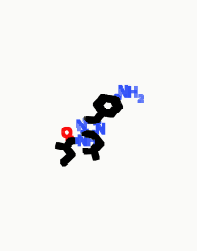 CCC(C)C(=O)Nc1ncc(-c2ccc(N)cc2)nc1C=C(C)C